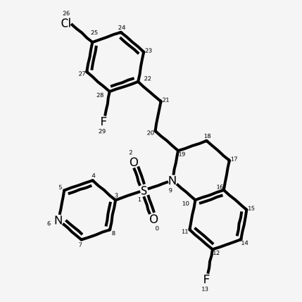 O=S(=O)(c1ccncc1)N1c2cc(F)ccc2CCC1CCc1ccc(Cl)cc1F